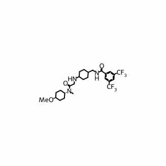 CO[C@H]1CC[C@H](N(C)C(=O)CNC2CCC(CNC(=O)c3cc(C(F)(F)F)cc(C(F)(F)F)c3)CC2)CC1